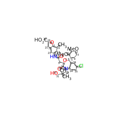 COc1cccc([C@H]2O[C@H](CC(=O)Nc3cc(C)c4oc(C(=O)O)cc4c3)C(=O)N(CC(C)(C)CO)c3ccc(Cl)cc32)c1OC